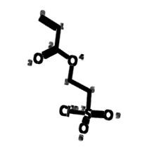 C=CC(=O)OCCS(=O)(=O)Cl